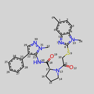 Cc1ccc2c(c1)nc(SCC(=O)N1CCC[C@H]1C(=O)Nc1c(-c3ccccc3)cnn1C)n2C